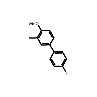 COc1ccc(-c2ccc(F)cc2)cc1C